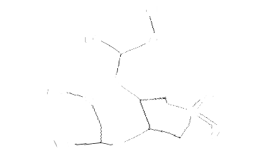 COC(C)OC1CS(=O)(=O)CC1OC(C)OC